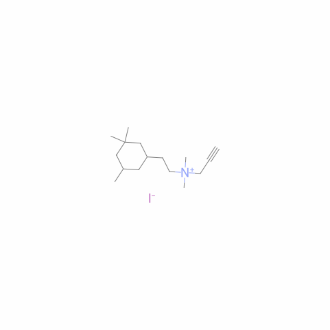 C#CC[N+](C)(C)CCC1CC(C)CC(C)(C)C1.[I-]